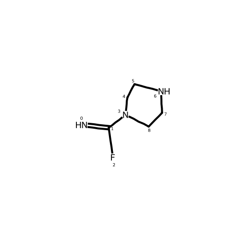 N=C(F)N1CCNCC1